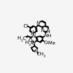 C=CC(=O)Nc1cc(Nc2ncc3ccnc(-c4cncc(Cl)c4)c3n2)c(OC)cc1N(C)C1CCN(C)C1